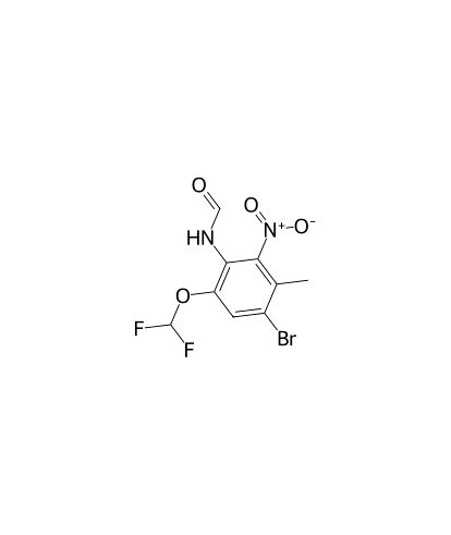 Cc1c(Br)cc(OC(F)F)c(NC=O)c1[N+](=O)[O-]